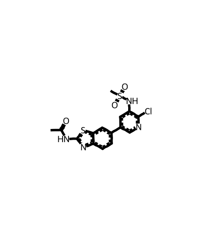 CC(=O)Nc1nc2ccc(-c3cnc(Cl)c(NS(C)(=O)=O)c3)cc2s1